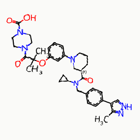 Cc1n[nH]cc1-c1ccc(CN(C(=O)[C@@H]2CCCN(c3cccc(OC(C)(C)C(=O)N4CCN(C(=O)O)CC4)c3)C2)C2CC2)cc1